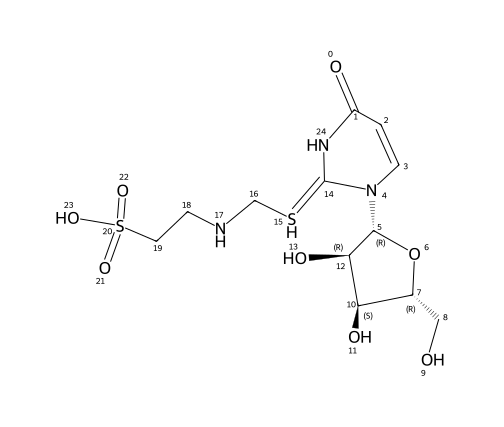 O=c1ccn([C@@H]2O[C@H](CO)[C@@H](O)[C@H]2O)c(=[SH]CNCCS(=O)(=O)O)[nH]1